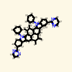 CC1c2cc3c4c(n(-c5ccccc5)c3c3c2-c2c(cc5c6cc(-c7ncccn7)ccc6n(-c6ccccc6)c5c2C(C)C3C)C1C)CCC(c1ncccn1)=C4